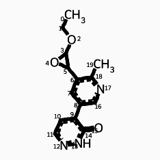 CCOC1OC1c1cc(-c2ccn[nH]c2=O)cnc1C